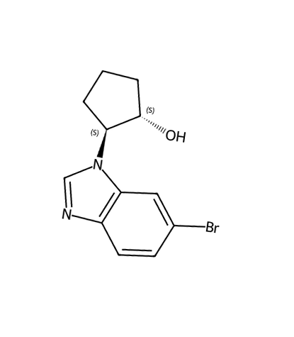 O[C@H]1CCC[C@@H]1n1cnc2ccc(Br)cc21